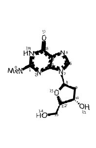 CNc1nc2c(ncn2[C@H]2C[C@H](O)[C@@H](CO)O2)c(=O)[nH]1